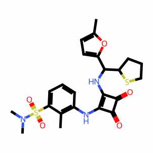 Cc1ccc(C(Nc2c(Nc3cccc(S(=O)(=O)N(C)C)c3C)c(=O)c2=O)C2CCCS2)o1